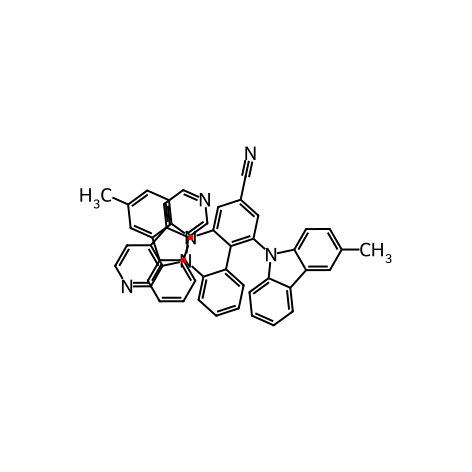 Cc1ccc2c(c1)c1ccccc1n2-c1cc(C#N)cc(-n2c3ccccc3c3cc(C)ccc32)c1-c1ccccc1-n1c2cnccc2c2ccncc21